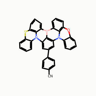 N#Cc1ccc(-c2cc3c4c(c2)N2c5ccccc5Sc5cccc(c52)B4c2cccc4c2N3c2ccccc2O4)cc1